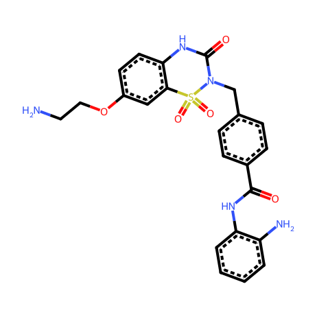 NCCOc1ccc2c(c1)S(=O)(=O)N(Cc1ccc(C(=O)Nc3ccccc3N)cc1)C(=O)N2